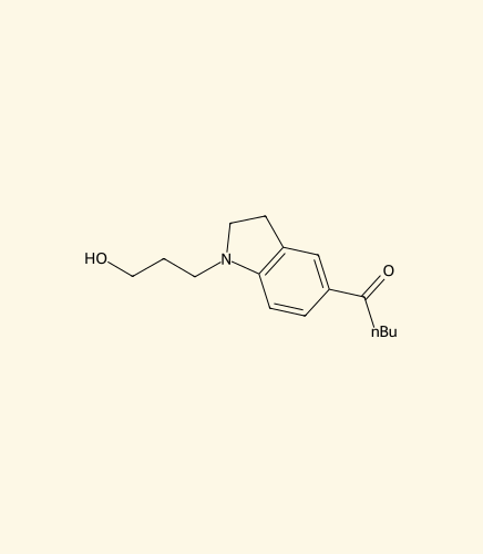 CCCCC(=O)c1ccc2c(c1)CCN2CCCO